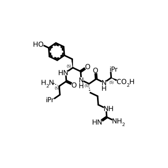 CC(C)C[C@H](N)C(=O)N[C@@H](Cc1ccc(O)cc1)C(=O)N[C@@H](CCCNC(=N)N)C(=O)N[C@H](C(=O)O)C(C)C